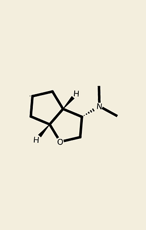 CN(C)[C@@H]1CO[C@@H]2C[CH]C[C@H]12